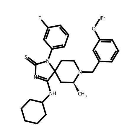 CC(C)Oc1cccc(CN2CCC3(C[C@@H]2C)C(NC2CCCCC2)=NC(=S)N3c2cccc(F)c2)c1